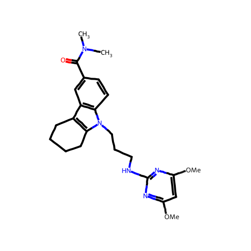 COc1cc(OC)nc(NCCCn2c3c(c4cc(C(=O)N(C)C)ccc42)CCCC3)n1